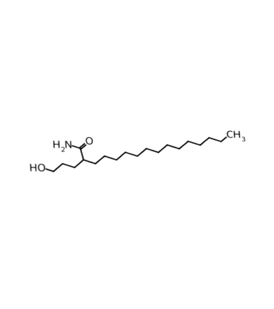 CCCCCCCCCCCCCCC(CCCO)C(N)=O